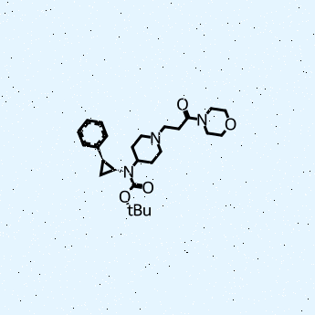 CC(C)(C)OC(=O)N(C1CCN(CCC(=O)N2CCOCC2)CC1)[C@@H]1C[C@H]1c1ccccc1